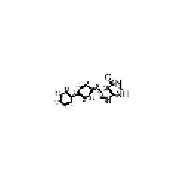 O=c1nc[nH]c2ncn(Cc3ccc(-c4ccccc4)cc3)c12